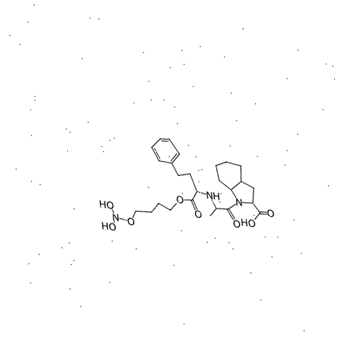 CC(NC(CCc1ccccc1)C(=O)OCCCCON(O)O)C(=O)N1C(C(=O)O)CC2CCCCC21